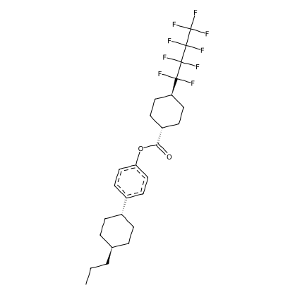 CCC[C@H]1CC[C@H](c2ccc(OC(=O)[C@H]3CC[C@H](C(F)(F)C(F)(F)C(F)(F)C(F)(F)F)CC3)cc2)CC1